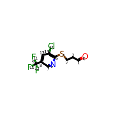 O=CCCSc1ncc(C(F)(F)F)cc1Cl